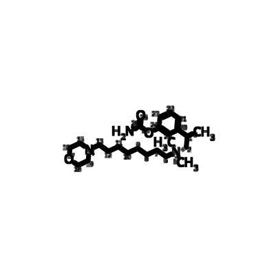 CC(C[N+](C)(C)CCCCCCCCN1CCOCC1)c1cccc(OC(N)=O)c1